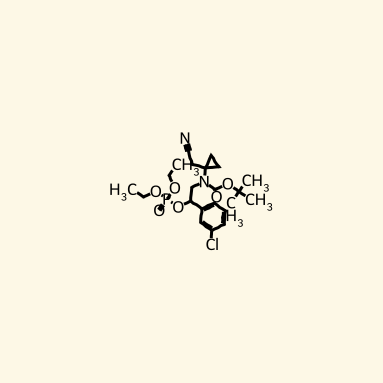 CCOP(=O)(OCC)OC(CN(C(=O)OC(C)(C)C)C1(CC#N)CC1)c1cccc(Cl)c1